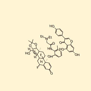 CC1(C)O[C@@H]2C[C@H]3[C@@H]4C[C@H](F)C5=CC(=O)C=C[C@]5(C)[C@@]4(F)[C@@H](O)C[C@]3(C)[C@]2(C(=O)CO)O1.CCN(CC)CC(=O)Nc1c(C)cccc1C.O=c1c(-c2ccc(O)cc2)coc2cc(O)cc(O)c12